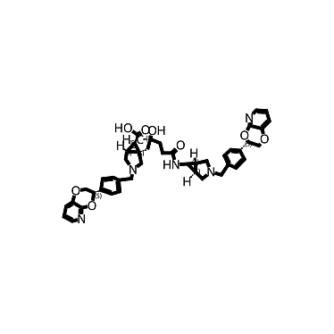 C[C@](O)(CCC(=O)NC1[C@@H]2CN(Cc3ccc([C@H]4COc5cccnc5O4)cc3)C[C@@H]12)C[C@]12CN(Cc3ccc([C@H]4COc5cccnc5O4)cc3)C[C@H]1[C@H]2C(=O)O